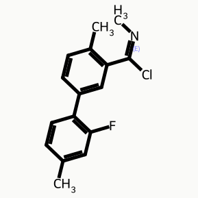 C/N=C(/Cl)c1cc(-c2ccc(C)cc2F)ccc1C